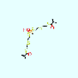 C=C(C)C(=O)SCCSCCSP(=C)(O)SCCSCCSC(=O)C(=C)C